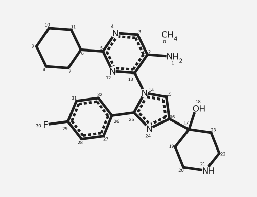 C.Nc1cnc(C2CCCCC2)nc1-n1cc(C2(O)CCNCC2)nc1-c1ccc(F)cc1